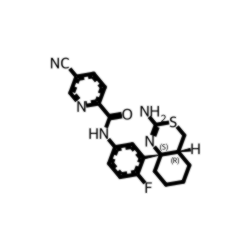 N#Cc1ccc(C(=O)Nc2ccc(F)c([C@]34CCCC[C@H]3CSC(N)=N4)c2)nc1